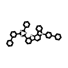 C1=CC2c3cccc(-c4nc(-c5ccccc5)nc(-c5cccc(-c6ccccc6)c5)n4)c3OC2c2c1n(-c1ccc(-c3ccccc3)cc1)c1ccccc21